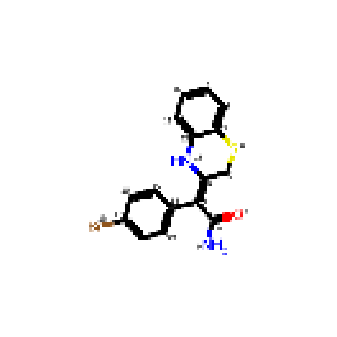 NC(=O)/C(=C1\CSc2ccccc2N1)c1ccc(Br)cc1